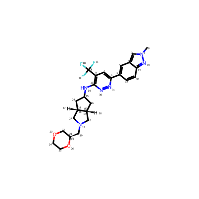 Cn1cc2cc(-c3cc(C(F)(F)F)c(NC4C[C@@H]5CN(C[C@@H]6COCCO6)C[C@@H]5C4)nn3)ccc2n1